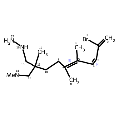 C=C(Br)/C=C\C(C)=C(/C)CCC(C)(CNC)CNN